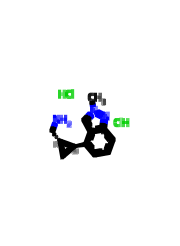 Cl.Cl.Cn1cc2c([C@H]3C[C@@H]3CN)cccc2n1